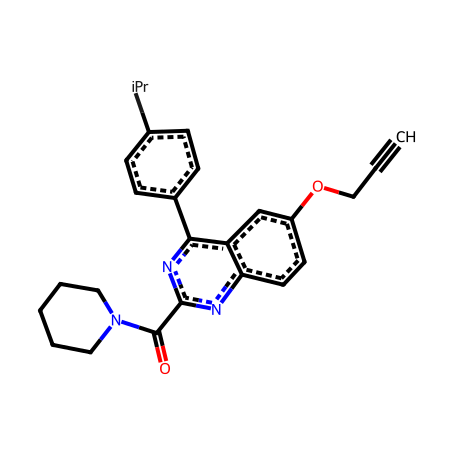 C#CCOc1ccc2nc(C(=O)N3CCCCC3)nc(-c3ccc(C(C)C)cc3)c2c1